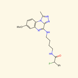 COc1ccc2c(c1)nc(NCCCCNC(=O)C(F)C(C)C)c1nnc(C)n12